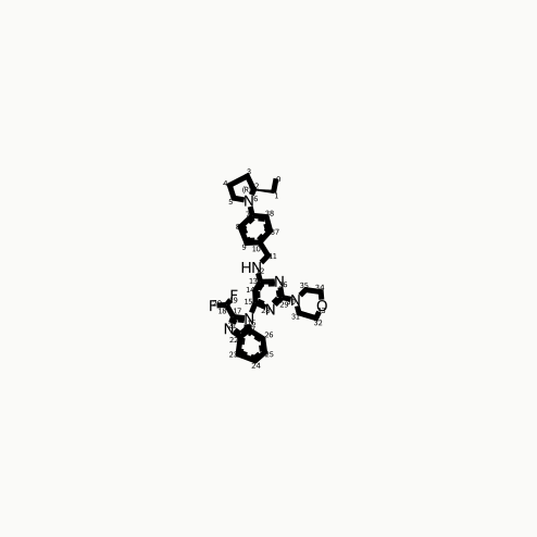 CC[C@@H]1CCCN1c1ccc(CNc2cc(-n3c(C(F)F)nc4ccccc43)nc(N3CCOCC3)n2)cc1